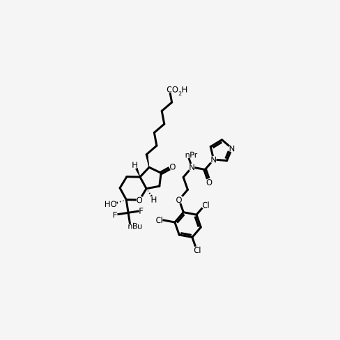 CCCCC(F)(F)[C@@]1(O)CC[C@H]2[C@@H](CC(=O)[C@@H]2CCCCCCC(=O)O)O1.CCCN(CCOc1c(Cl)cc(Cl)cc1Cl)C(=O)n1ccnc1